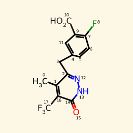 Cc1c(Cc2ccc(F)c(C(=O)O)c2)n[nH]c(=O)c1C(F)(F)F